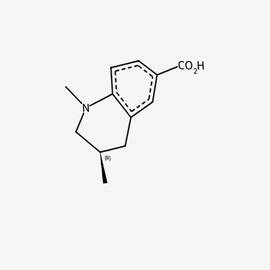 C[C@@H]1Cc2cc(C(=O)O)ccc2N(C)C1